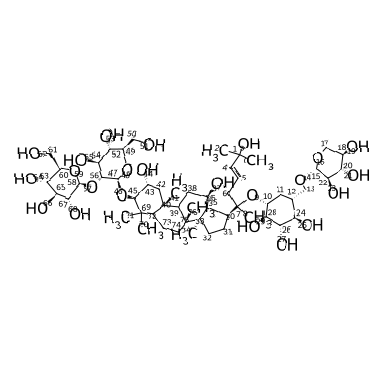 CC(C)(O)/C=C/CC(C)(O[C@@H]1C[C@H](CO[C@@H]2OC[C@@H](O)[C@H](O)[C@H]2O)[C@@H](O)[C@H](O)[C@H]1O)[C@H]1CC[C@]2(C)C1[C@H](O)CC1[C@@]3(C)C[C@@H](O)[C@H](O[C@@H]4O[C@H](CO)[C@@H](O)[C@H](O)[C@H]4O[C@@H]4O[C@H](CO)[C@@H](O)[C@H](O)[C@H]4O)C(C)(C)C3CC[C@]12C